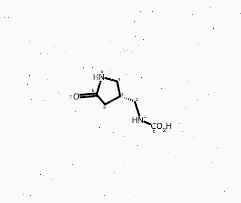 O=C(O)NC[C@H]1CNC(=O)C1